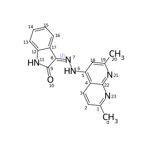 Cc1ccc2c(N/N=C3\C(=O)Nc4ccccc43)cc(C)nc2n1